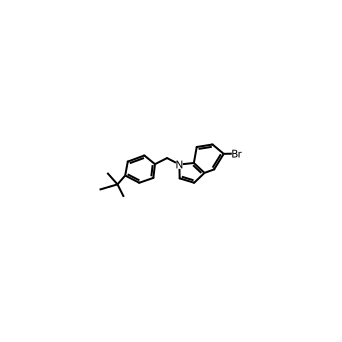 CC(C)(C)c1ccc(Cn2ccc3cc(Br)ccc32)cc1